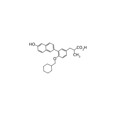 CC(Cc1ccc(OCC2CCCCC2)c(-c2ccc3cc(O)ccc3c2)c1)C(=O)O